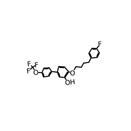 Oc1cc(-c2ccc(OC(F)(F)F)cc2)ccc1OCCCCc1ccc(F)cc1